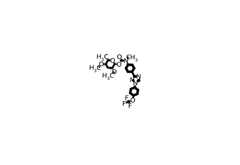 CO[C@@H]1C[C@@H](OC)[C@H](C)O[C@H]1OC(=O)N(C)c1ccc(-c2ncn(-c3ccc(OC(F)(F)F)cc3)n2)cc1